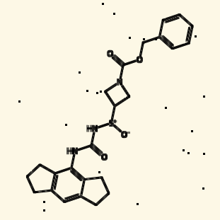 O=C(Nc1c2c(cc3c1CCC3)CCC2)N[S+]([O-])C1CN(C(=O)OCc2ccccc2)C1